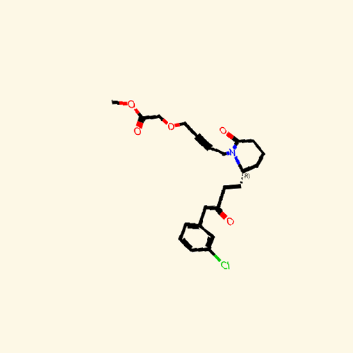 COC(=O)COCC#CCN1C(=O)CCC[C@@H]1CCC(=O)Cc1cccc(Cl)c1